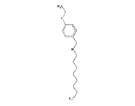 CCCCCCCCNCc1ccc(OCC)cc1